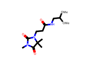 COC(CNC(=O)CCN1C(=O)N(C)C(=O)C1(C)C)OC